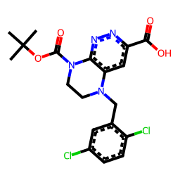 CC(C)(C)OC(=O)N1CCN(Cc2cc(Cl)ccc2Cl)c2cc(C(=O)O)nnc21